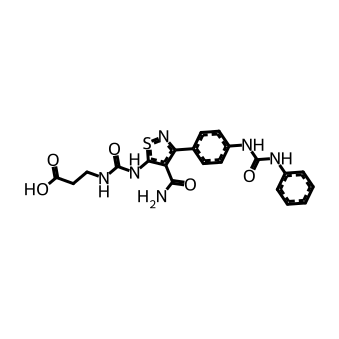 NC(=O)c1c(-c2ccc(NC(=O)Nc3ccccc3)cc2)nsc1NC(=O)NCCC(=O)O